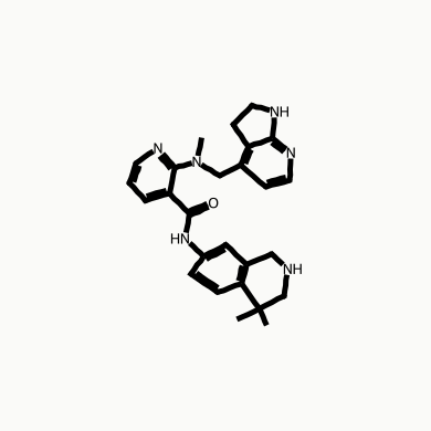 CN(Cc1ccnc2c1CCN2)c1ncccc1C(=O)Nc1ccc2c(c1)CNCC2(C)C